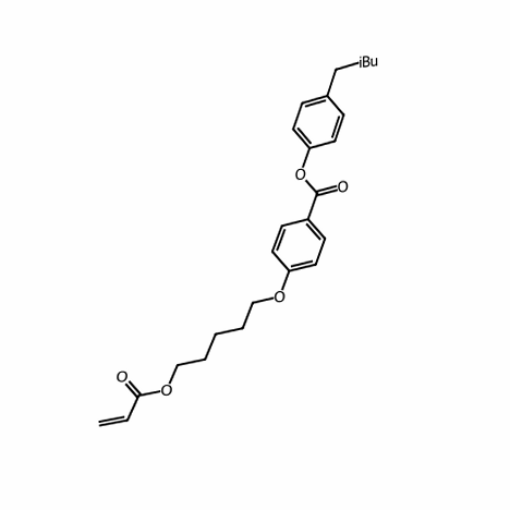 C=CC(=O)OCCCCCOc1ccc(C(=O)Oc2ccc(CC(C)CC)cc2)cc1